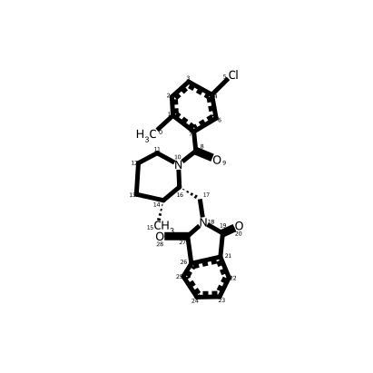 Cc1ccc(Cl)cc1C(=O)N1CCC[C@@H](C)[C@H]1CN1C(=O)c2ccccc2C1=O